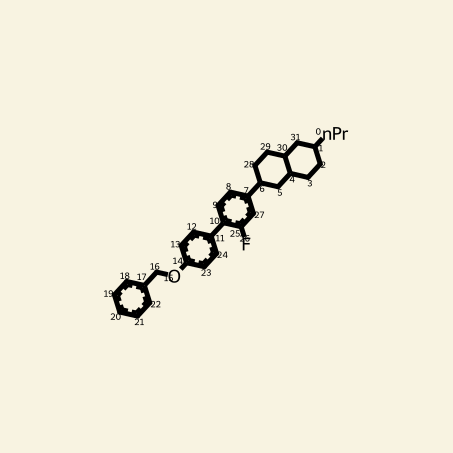 CCCC1CCC2CC(c3ccc(-c4ccc(OCc5ccccc5)cc4)c(F)c3)CCC2C1